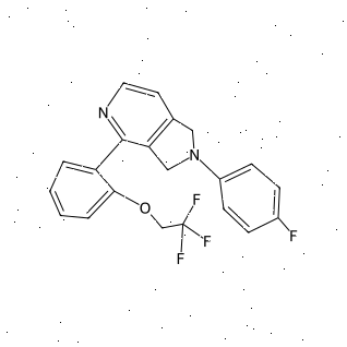 Fc1ccc(N2Cc3ccnc(-c4ccccc4OCC(F)(F)F)c3C2)cc1